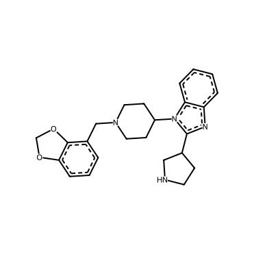 c1cc(CN2CCC(n3c(C4CCNC4)nc4ccccc43)CC2)c2c(c1)OCO2